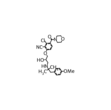 COc1ccc(CC(C)(C)NC[C@@H](O)COc2ccc(C(=O)N3CCOCC3)c(Cl)c2C#N)cc1